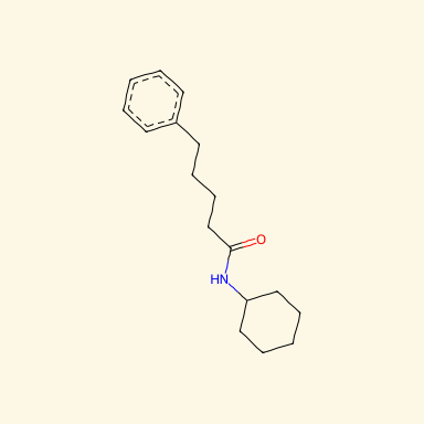 O=C(CCCCc1ccccc1)NC1CCCCC1